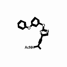 CC(=O)NC(C)C#Cc1cnc(Oc2cccc(Oc3ccccc3)c2)s1